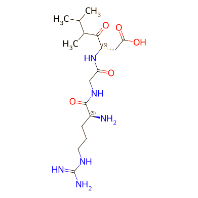 CC(C)C(C)C(=O)[C@H](CC(=O)O)NC(=O)CNC(=O)[C@@H](N)CCCNC(=N)N